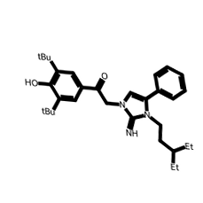 CCC(CC)CCn1c(-c2ccccc2)cn(CC(=O)c2cc(C(C)(C)C)c(O)c(C(C)(C)C)c2)c1=N